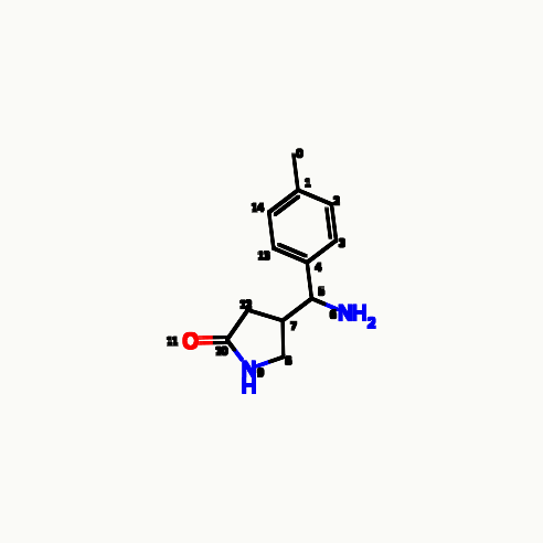 Cc1ccc(C(N)C2CNC(=O)C2)cc1